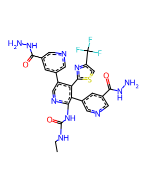 CCNC(=O)Nc1ncc(-c2cncc(C(=O)NN)c2)c(-c2nc(C(F)(F)F)cs2)c1-c1cncc(C(=O)NN)c1